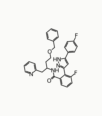 O=C(NC(CCOCc1ccccc1)Cc1ccccn1)c1cccc(F)c1-c1cc(-c2ccc(F)cc2)[nH]n1